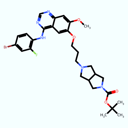 COc1cc2ncnc(Nc3ccc(Br)cc3F)c2cc1OCCCN1CC2CN(C(=O)OC(C)(C)C)CC2C1